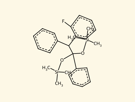 C[Si](C)(C)OC(O[Si](C)(C)C)(c1ccccc1)C(c1ccccc1)c1ccccc1F